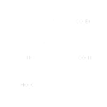 CCOC(=O)C=Cc1ccccc1.O=C(O)c1ccc(C(=O)O)c(O)c1